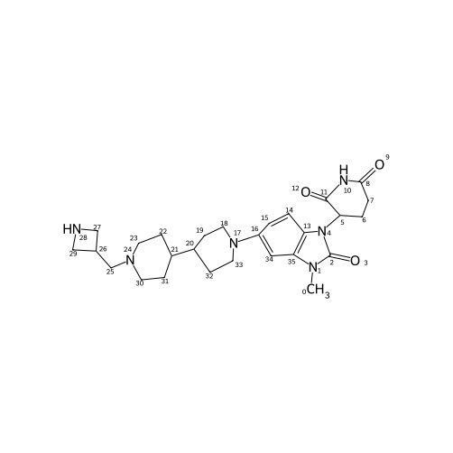 Cn1c(=O)n(C2CCC(=O)NC2=O)c2ccc(N3CCC(C4CCN(CC5CNC5)CC4)CC3)cc21